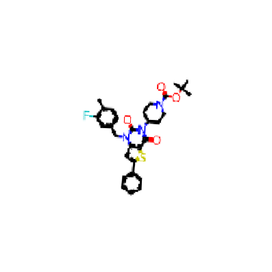 Cc1ccc(Cn2c(=O)n(C3CCN(C(=O)OC(C)(C)C)CC3)c(=O)c3sc(-c4ccccc4)cc32)cc1F